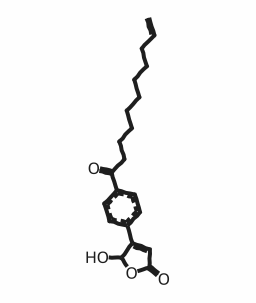 C=CCCCCCCCCC(=O)c1ccc(C2=CC(=O)OC2O)cc1